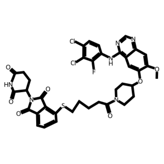 COc1cc2ncnc(Nc3ccc(Cl)c(Cl)c3F)c2cc1OC1CCN(C(=O)CCCCSc2cccc3c2C(=O)N(C2CCC(=O)NC2=O)C3=O)CC1